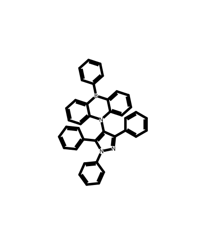 c1ccc(B2c3ccccc3N(c3c(-c4ccccc4)nn(-c4ccccc4)c3-c3ccccc3)c3ccccc32)cc1